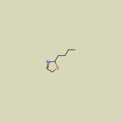 CCCCC1N=CCS1